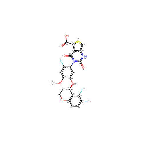 COc1cc(F)c(-n2c(=O)[nH]c3csc(C(=O)O)c3c2=O)cc1O[C@@H]1CCOc2ccc(F)c(F)c21